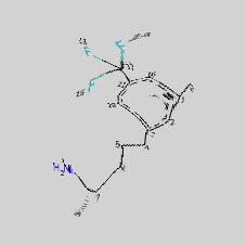 Cc1cc(CCC[C@H](C)N)cc(C(F)(F)F)c1